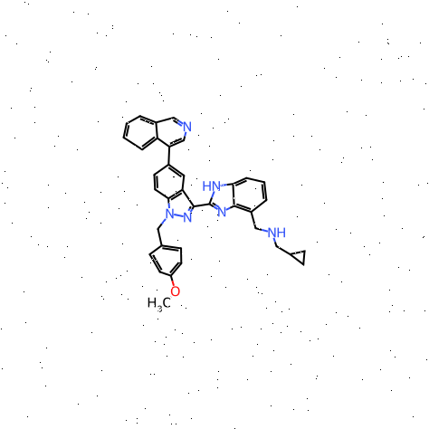 COc1ccc(Cn2nc(-c3nc4c(CNCC5CC5)cccc4[nH]3)c3cc(-c4cncc5ccccc45)ccc32)cc1